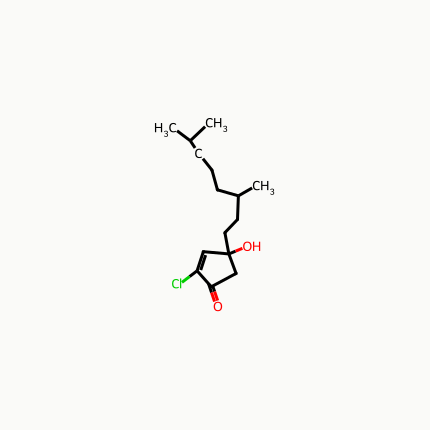 CC(C)CCCC(C)CCC1(O)C=C(Cl)C(=O)C1